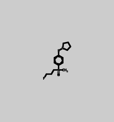 C[SH](=O)(CCCF)c1ccc(SN2CCCC2)cc1